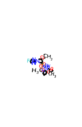 CCO[C@@H]1C[C@@H](S(=O)(=O)Nc2nnc(C3CCCO3)n2-c2c(OC)cccc2OC)CN(c2ncc(F)cn2)C1